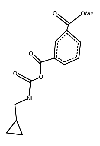 COC(=O)c1cccc(C(=O)OC(=O)NCC2CC2)c1